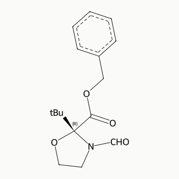 CC(C)(C)[C@]1(C(=O)OCc2ccccc2)OCCN1C=O